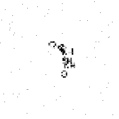 Cc1ccc(-c2csc(NCc3cnc(NCc4ccccc4)s3)n2)cc1